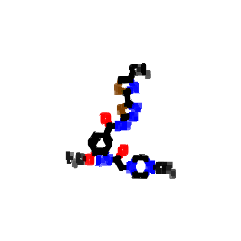 Cc1csc(-c2nnc(NC(=O)c3ccc(OC(F)(F)F)c(NC(=O)CN4CCN(C)CC4)c3)s2)n1